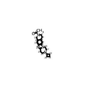 CC(=O)N1CCc2cc3c(cc2C1)nc1n3CCN(C2CCC2)CC1